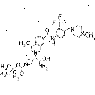 C[C@H]1CN(C(C(N)O)C2CN(C(=O)OC(C)(C)C)C2)Cc2cc(C(=O)Nc3ccc(CN4CCN(C)CC4)c(C(F)(F)F)c3)ccc21